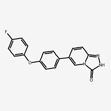 O=c1[nH]nc2ccc(-c3ccc(Oc4ccc(F)cc4)cc3)cn12